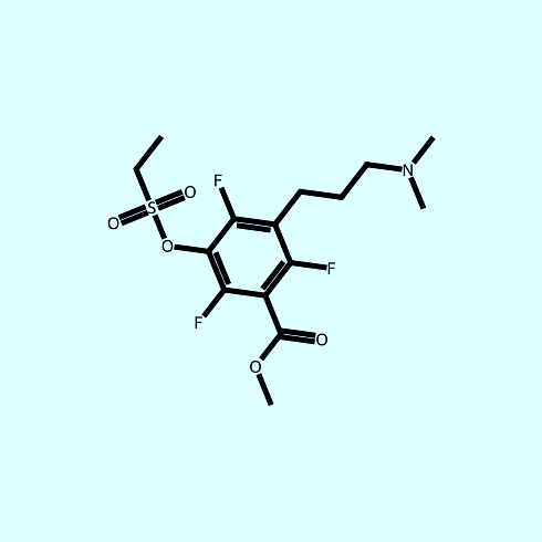 CCS(=O)(=O)Oc1c(F)c(CCCN(C)C)c(F)c(C(=O)OC)c1F